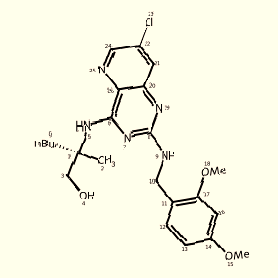 CCCC[C@](C)(CO)Nc1nc(NCc2ccc(OC)cc2OC)nc2cc(Cl)cnc12